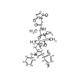 C[C@H](NC(=O)CN1C(=O)C=CC1=O)C(=O)N(C)[C@@H](C)C(=O)CC(C)(C)[CH]c1cc(-c2cc(F)ccc2F)cn1Cc1ccccc1